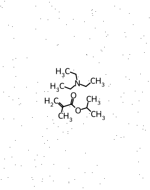 C=C(C)C(=O)OC(C)C.CCN(CC)CC